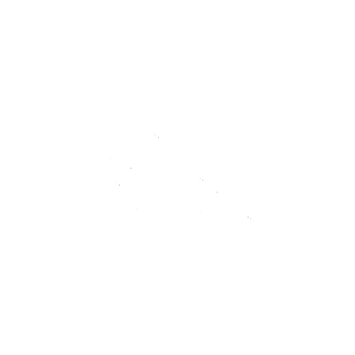 CNC(C)(C#N)CCCNC(C)(C)C#N